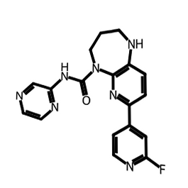 O=C(Nc1cnccn1)N1CCCNc2ccc(-c3ccnc(F)c3)nc21